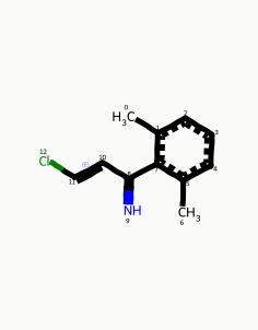 Cc1cccc(C)c1C(=N)/C=C/Cl